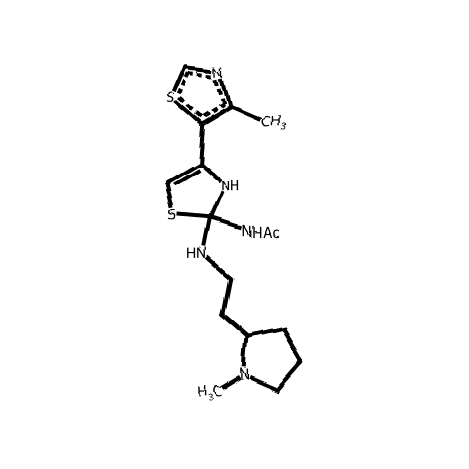 CC(=O)NC1(NCCC2CCCN2C)NC(c2scnc2C)=CS1